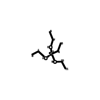 CCO[Si](CC)(OCC)OCC